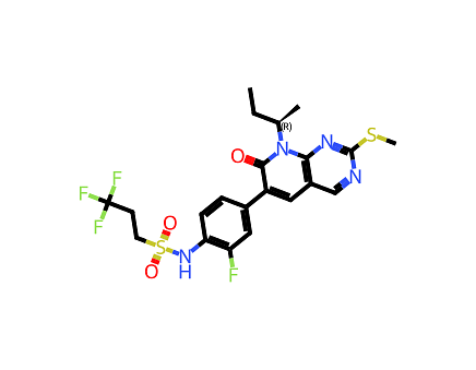 CC[C@@H](C)n1c(=O)c(-c2ccc(NS(=O)(=O)CCC(F)(F)F)c(F)c2)cc2cnc(SC)nc21